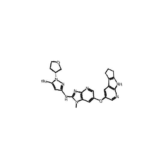 Cn1c(Nc2cc(C(C)(C)C)n([C@@H]3CCOC3)n2)nc2ncc(Oc3cnc4[nH]c5c(c4c3)CCC5)cc21